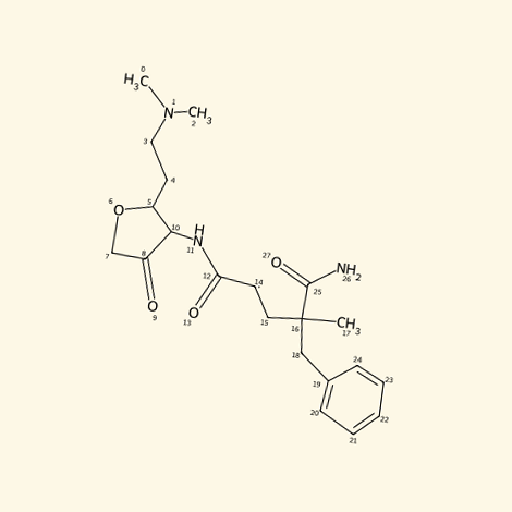 CN(C)CCC1OCC(=O)C1NC(=O)[CH]CC(C)(Cc1ccccc1)C(N)=O